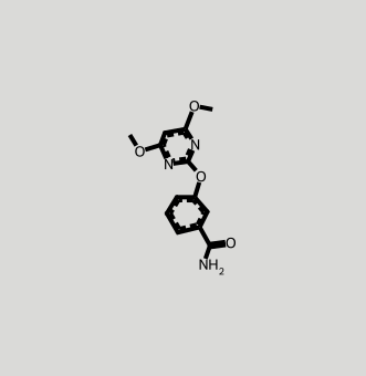 COc1cc(OC)nc(Oc2cccc(C(N)=O)c2)n1